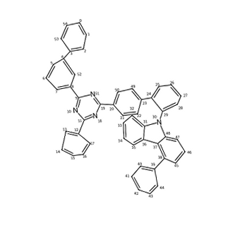 c1ccc(-c2cccc(-c3nc(-c4ccccc4)nc(-c4ccc(-c5ccccc5-n5c6ccccc6c6c(-c7ccccc7)cccc65)cc4)n3)c2)cc1